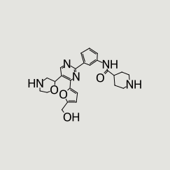 O=C(Nc1cccc(-c2ncc(C3CNCCO3)c(-c3ccc(CO)o3)n2)c1)C1CCNCC1